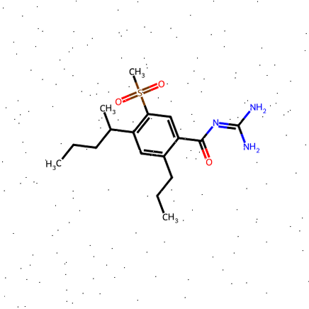 CCCc1cc(C(C)CCC)c(S(C)(=O)=O)cc1C(=O)N=C(N)N